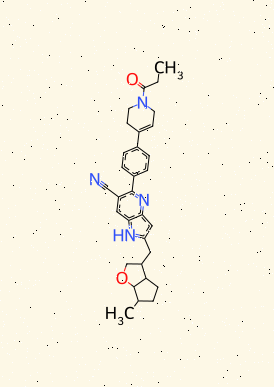 CCC(=O)N1CC=C(c2ccc(-c3nc4cc(CC5COC6C(C)CCC56)[nH]c4cc3C#N)cc2)CC1